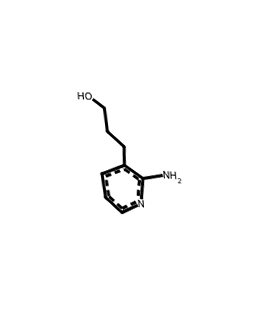 Nc1ncccc1CCCO